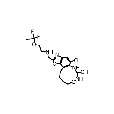 OC1NCCCCCc2c(c(Cl)cc3nc(CNCCOC(F)(F)F)oc23)N1